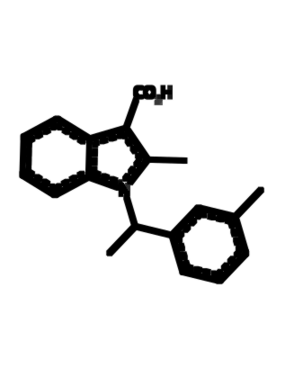 Cc1cccc(C(C)n2c(C)c(C(=O)O)c3ccccc32)c1